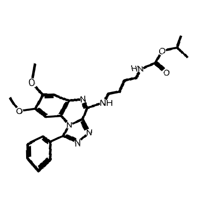 COc1cc2nc(NCCCCNC(=O)OC(C)C)c3nnc(-c4ccccc4)n3c2cc1OC